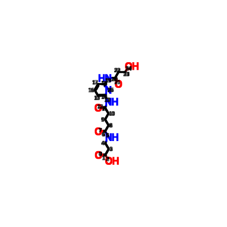 O=C(O)CCNC(=O)CCCC(=O)Nc1cccc(NC(=O)CCO)n1